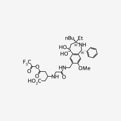 CCCC[C@]1(CC)CS(O)(O)c2cc(CNC(=O)CNC(CC(=O)O)CC(=O)OC(=O)C(F)(F)F)c(OC)cc2[C@@H](c2ccccc2)N1